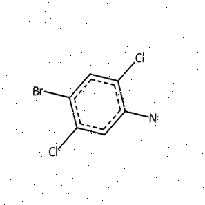 [N]c1cc(Cl)c(Br)cc1Cl